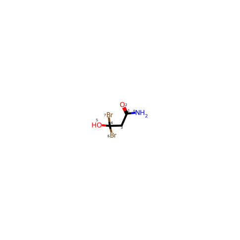 NC(=O)CC(O)(Br)Br